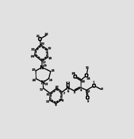 COC(=O)C(=CNc1cccc(CN2CCN(c3ccc(OC)cc3)CC2)c1)C(=O)OC